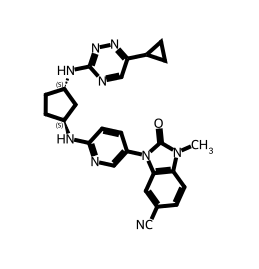 Cn1c(=O)n(-c2ccc(N[C@H]3CC[C@H](Nc4ncc(C5CC5)nn4)C3)nc2)c2cc(C#N)ccc21